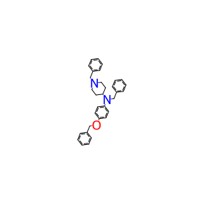 c1ccc(COc2ccc(N(Cc3ccccc3)C3CCN(Cc4ccccc4)CC3)cc2)cc1